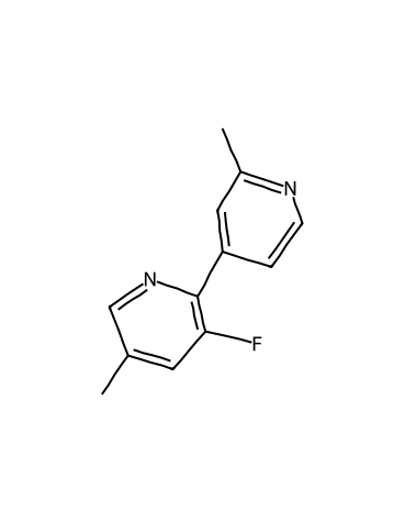 Cc1cnc(-c2ccnc(C)c2)c(F)c1